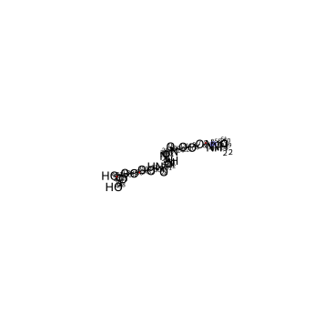 N/C(=C\N(N)CCOCCOCCOCCNC(=O)c1ccnc(-c2cc(C(=O)NCCOCCOCCOCCOC3CC(O)CC(CO)O3)ccn2)c1)Cc1ccccc1